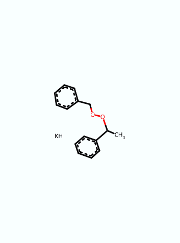 CC(OOCc1ccccc1)c1ccccc1.[KH]